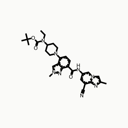 CCN(C(=O)OC(C)(C)C)C1CCN(c2ccc(C(=O)Nc3cc(C#N)c4nc(C)cn4c3)c3nn(C)cc23)CC1